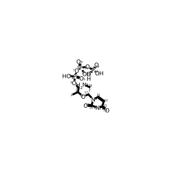 CC(COP(=O)(O)OP(=O)(O)OP(=O)(O)O)O[C@H](CN)n1ccc(=O)[nH]c1=O